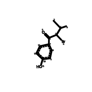 CC(C)C(Br)C(=O)c1ccc(O)cc1